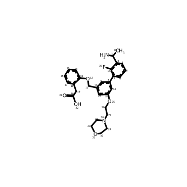 CC(N)c1cccc(-c2cc(COc3ccccc3CC(=O)O)cc(OCCN3CCOCC3)c2)c1F